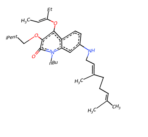 CC=C(CC)Oc1c(OCC(C)CCC)c(=O)n(CCCC)c2cc(NC/C=C(\C)CCC=C(C)C)ccc12